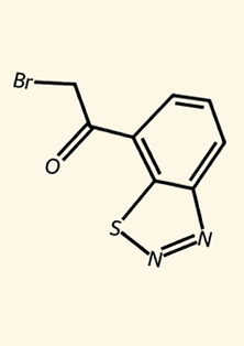 O=C(CBr)c1cccc2nnsc12